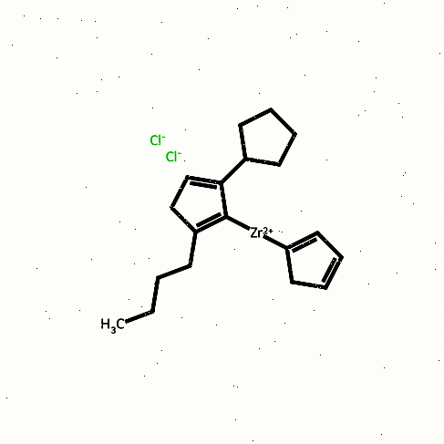 CCCCC1=[C]([Zr+2][C]2=CC=CC2)C(C2CCCC2)=CC1.[Cl-].[Cl-]